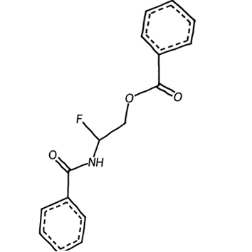 O=C(NC(F)COC(=O)c1ccccc1)c1ccccc1